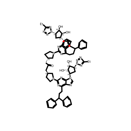 CCc1nnn([C@H]2C[C@@H](n3cnc4c(CCC(c5ccccc5)c5ccccc5)nc(N5CC[C@@H](CC(=O)C[C@@H]6CCN(c7nc(CCC(c8ccccc8)c8ccccc8)c8ncn([C@@H]9C[C@H](n%10nnc(CC)n%10)[C@@H](O)[C@H]9O)c8n7)C6)C5)nc43)[C@H](O)[C@@H]2O)n1